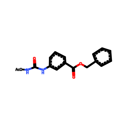 CC(=O)ONC(=O)Nc1cccc(C(=O)OCc2ccccc2)c1